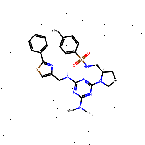 CCCc1ccc(S(=O)(=O)NC[C@H]2CCCN2c2nc(NCc3csc(-c4ccccc4)n3)nc(N(C)CCC)n2)cc1